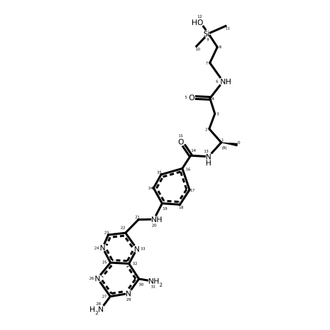 C[C@H](CCC(=O)NCC[Si](C)(C)O)NC(=O)c1ccc(NCc2cnc3nc(N)nc(N)c3n2)cc1